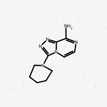 Nc1nccn2c(N3CCCCC3)nnc12